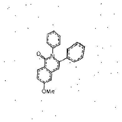 COc1ccc2c(=O)n(-c3ccccc3)c(-c3ccccc3)cc2c1